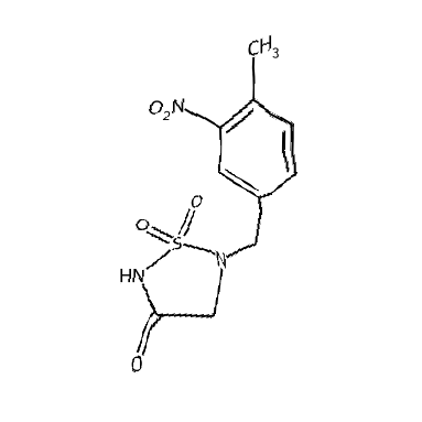 Cc1ccc(CN2CC(=O)NS2(=O)=O)cc1[N+](=O)[O-]